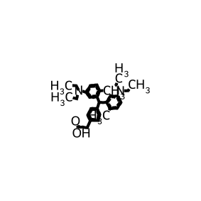 CCN(CC)c1ccc(C)c(C(c2ccc(CC(=O)O)cc2)c2cc(N(CC)CC)ccc2C)c1